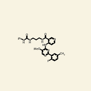 COc1cnc(-c2cc(C)ccc2F)nc1Nc1ccncc1C(=O)NCCCNC(=O)NC(C)C